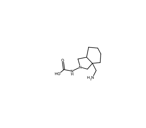 NCC12CCCCC1CN(NC(=O)O)C2